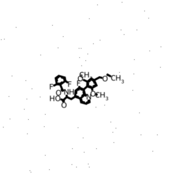 CCOCc1cc(OC)c(-c2c(F)cc(CC(NC(=O)c3c(F)cccc3F)C(=O)O)c3cccnc23)c(OC)c1